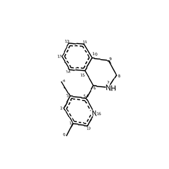 Cc1[c]c(C)c(C2NCCc3ccccc32)nc1